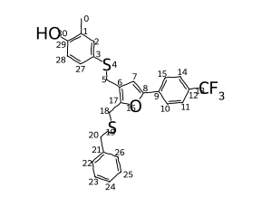 Cc1cc(SCc2cc(-c3ccc(C(F)(F)F)cc3)oc2CSCc2ccccc2)ccc1O